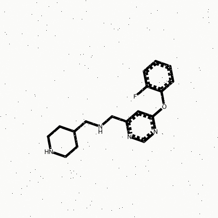 Fc1ccccc1Oc1cc(CNCC2CCNCC2)ncn1